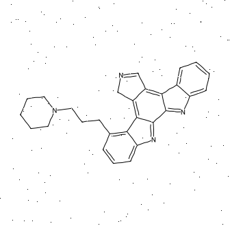 C1=NCc2c1c1c(c3c2-c2c(CCCN4CCCCC4)cccc2N=3)=Nc2ccccc2-1